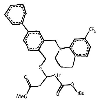 COC(=O)CC(NC(=O)OC(C)(C)C)SCc1ccc(-c2ccccc2)cc1CN1CCCc2ccc(C(F)(F)F)cc21